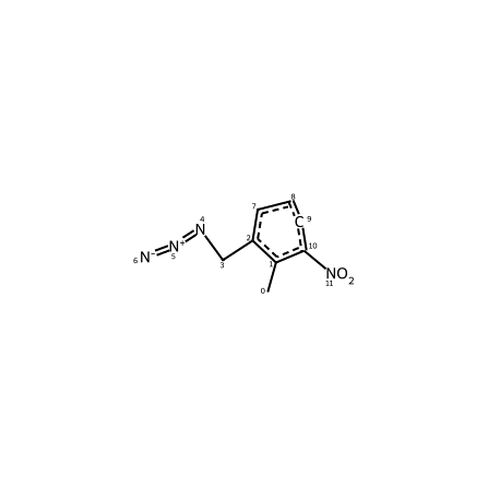 Cc1c(CN=[N+]=[N-])cccc1[N+](=O)[O-]